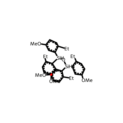 CCc1ccc(OC)cc1[SiH](O[SiH](c1cc(OC)ccc1CC)c1cc(OC)ccc1CC)c1cc(OC)ccc1CC